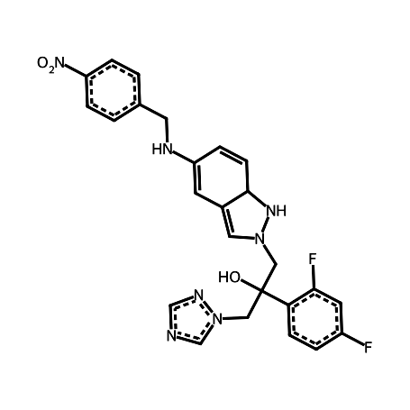 O=[N+]([O-])c1ccc(CNC2=CC3=CN(CC(O)(Cn4cncn4)c4ccc(F)cc4F)NC3C=C2)cc1